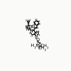 C[Si](C)(C)CCOCn1cnc2c1CCN(c1nnc(C3CC3)o1)C2c1cc2ccccc2o1